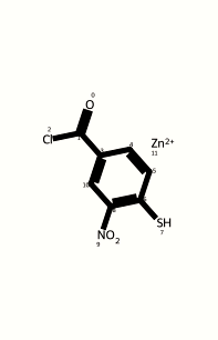 O=C(Cl)c1ccc(S)c([N+](=O)[O-])c1.[Zn+2]